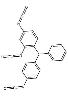 O=C=Nc1ccc(C(c2ccccc2)c2ccc(N=C=O)cc2N=C=O)cc1